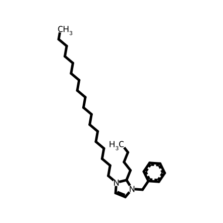 CCCCCCCCCCCCCCCCCCN1C=CN(Cc2ccccc2)C1CCCC